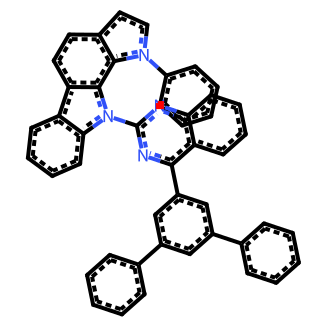 c1ccc(-c2cc(-c3ccccc3)cc(-c3nc(-n4c5ccccc5c5ccc6ccn(-c7ccccc7)c6c54)nc4ccccc34)c2)cc1